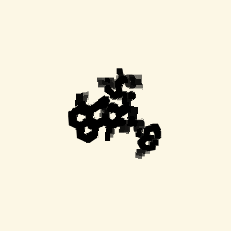 C#Cc1c(F)ccc2cccc(-c3ncc4c(N(C)[C@@H]5CCN[C@@H]5[C@@H](C)O)nc(OC[C@@]56CCCN5C[C@H](F)C6)nc4c3F)c12